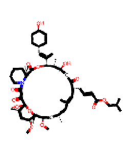 CO[C@H]1C[C@@H](C)C/C(C)=C/[C@@H](C/C=C/C(=O)OCC(C)C)C(=O)C[C@H](O)[C@@H](C)[C@@H](/C(C)=C/[C@H]2CC[C@H](O)CC2)OC(=O)[C@@H]2CCCCN2C(=O)C(=O)[C@]2(O)O[C@H]1[C@@H](OC)C[C@H]2C